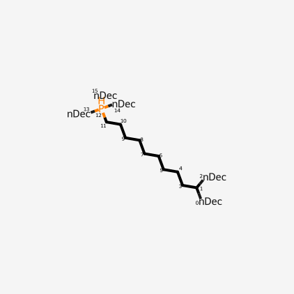 CCCCCCCCCCC(CCCCCCCCCC)CCCCCCCCC[PH](CCCCCCCCCC)(CCCCCCCCCC)CCCCCCCCCC